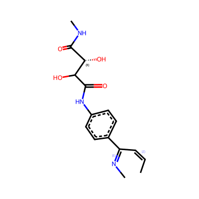 C/C=C\C(=N/C)c1ccc(NC(=O)C(O)[C@@H](O)C(=O)NC)cc1